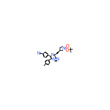 Cc1ccc(-c2c(-c3ccc(C#N)cc3)nc(C#CC3CCN(C(=O)OC(C)(C)C)C3)c3nccn23)cc1